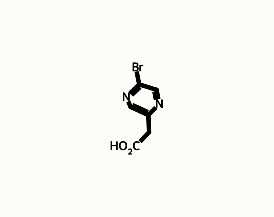 O=C(O)Cc1cnc(Br)cn1